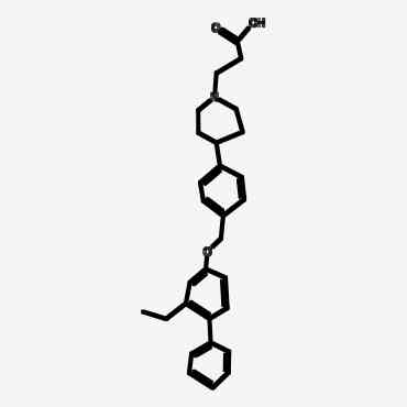 CCc1cc(OCc2ccc(C3CCN(CCC(=O)O)CC3)cc2)ccc1-c1ccccc1